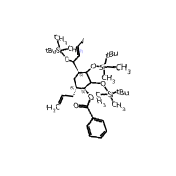 C=CC[C@@H]1C[C@@H](C(/C=C/I)O[Si](C)(C)C(C)(C)C)C(O[Si](C)(C)C(C)(C)C)C(O[Si](C)(C)C(C)(C)C)[C@H]1OC(=O)c1ccccc1